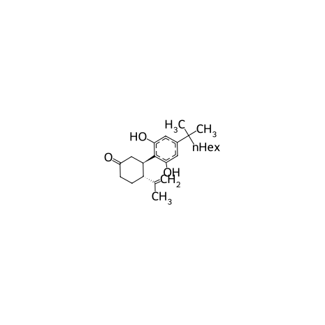 C=C(C)[C@@H]1CCC(=O)C[C@H]1c1c(O)cc(C(C)(C)CCCCCC)cc1O